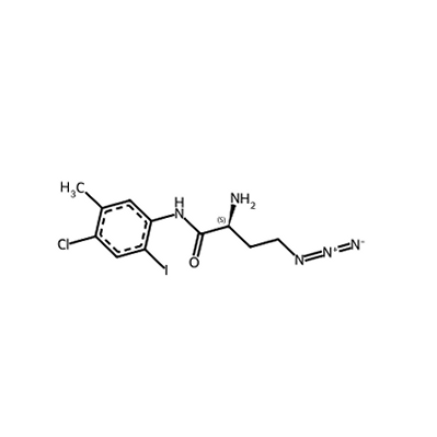 Cc1cc(NC(=O)[C@@H](N)CCN=[N+]=[N-])c(I)cc1Cl